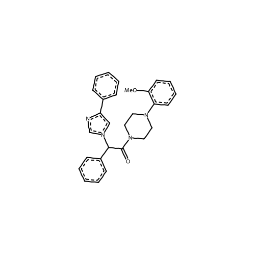 COc1ccccc1N1CCN(C(=O)C(c2ccccc2)n2cnc(-c3ccccc3)c2)CC1